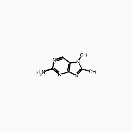 Nc1ncc2c(n1)nc(O)n2O